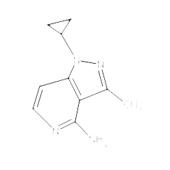 Cc1nn(C2CC2)c2ccnc(N)c12